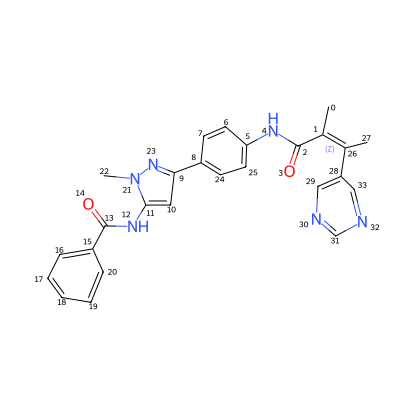 C/C(C(=O)Nc1ccc(-c2cc(NC(=O)c3ccccc3)n(C)n2)cc1)=C(\C)c1cncnc1